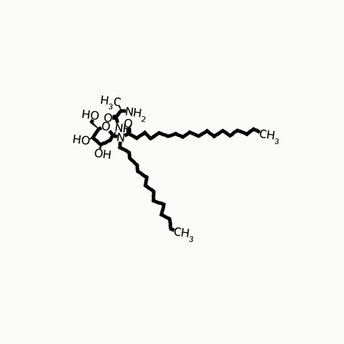 CCCCCCCCCCCCCCCCCC(=O)N(CCCCCCCCCCCCCC)[C@@]1(NC(=O)[C@H](C)N)C[C@@H](O)[C@H](O)[C@@H](CO)O1